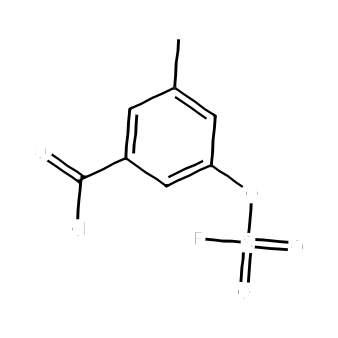 Cc1cc(OS(=O)(=O)F)cc(C(=O)Cl)c1